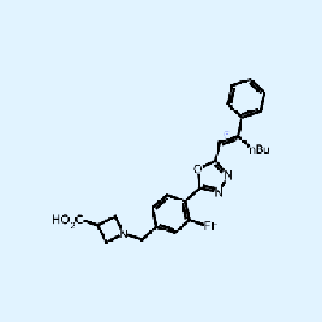 CCCC/C(=C\c1nnc(-c2ccc(CN3CC(C(=O)O)C3)cc2CC)o1)c1ccccc1